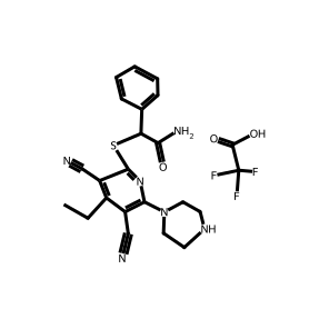 CCc1c(C#N)c(SC(C(N)=O)c2ccccc2)nc(N2CCNCC2)c1C#N.O=C(O)C(F)(F)F